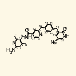 Cc1cc(N)nc(C)c1CNC(=O)c1ccnc(Cc2ccc(Cc3cc(C#N)c[nH]c3=O)cc2)c1